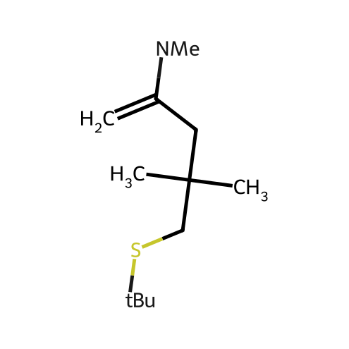 C=C(CC(C)(C)CSC(C)(C)C)NC